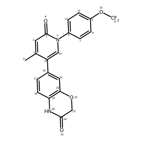 Cc1cc(=O)n(-c2ccc(OC(F)(F)F)cc2)cc1-c1ccc2c(c1)OCC(=O)N2